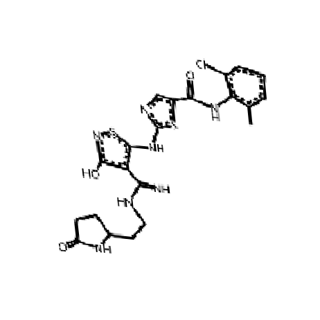 Cc1cccc(Cl)c1NC(=O)c1cnc(Nc2snc(O)c2C(=N)NCCC2CCC(=O)N2)s1